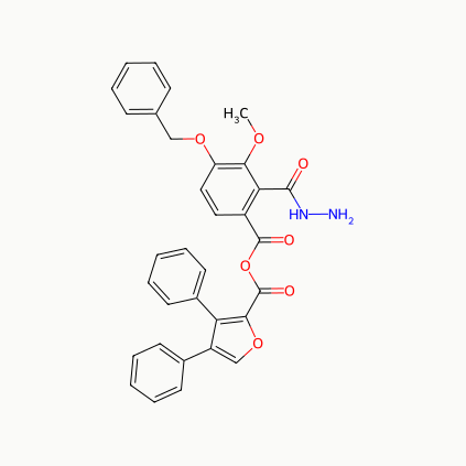 COc1c(OCc2ccccc2)ccc(C(=O)OC(=O)c2occ(-c3ccccc3)c2-c2ccccc2)c1C(=O)NN